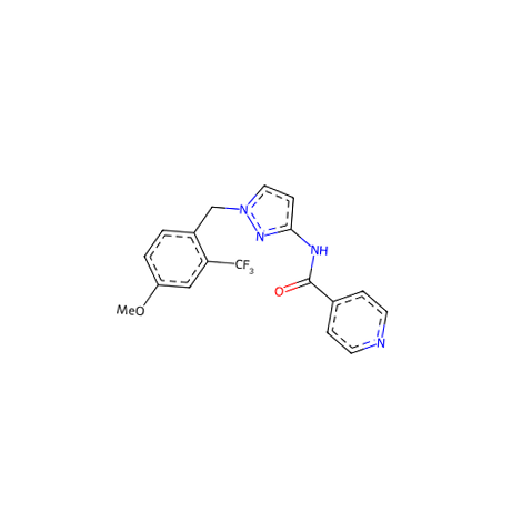 COc1ccc(Cn2ccc(NC(=O)c3ccncc3)n2)c(C(F)(F)F)c1